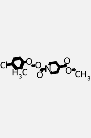 CCOC(=O)C1CCN(C(=O)OCOc2ccc(Cl)cc2C)CC1